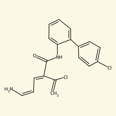 C=C(Cl)/C(=C\C=C/N)C(=O)Nc1ccccc1-c1ccc(Cl)cc1